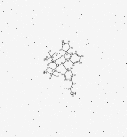 CC(C)C(C)(C)[Si](C)(C)O[Si](C)(C)C(C)(C)C(C)C.OCCc1ccc(CCCC2(c3ccccc3)CCOC2)cc1